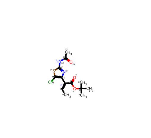 C/C=C(\C(=O)OC(C)(C)C)c1nc(NC(C)=O)sc1Cl